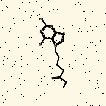 COC(=O)CCCCn1cnc2nc(Cl)nc(Cl)c21